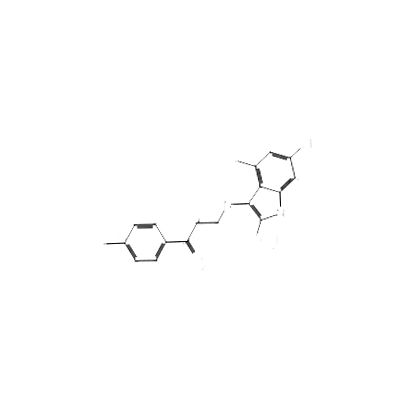 CCOC(=O)c1[nH]c2cc(Cl)cc(Cl)c2c1NCCC(=O)c1ccc(Cl)cc1